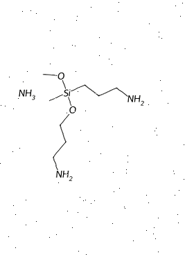 CO[Si](C)(CCCN)OCCCN.N